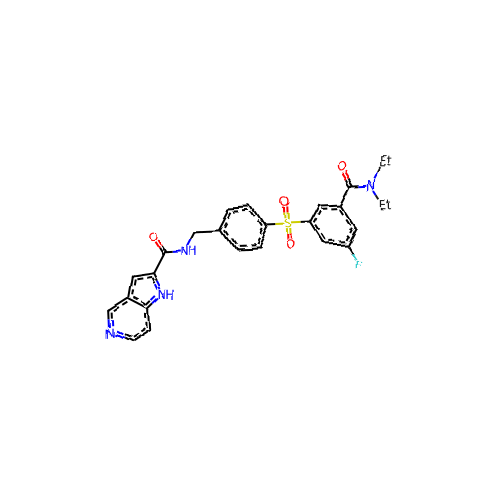 CCN(CC)C(=O)c1cc(F)cc(S(=O)(=O)c2ccc(CNC(=O)c3cc4cnccc4[nH]3)cc2)c1